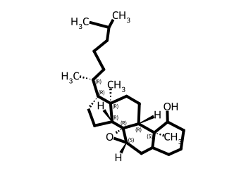 CC(C)CCC[C@@H](C)[C@H]1CC[C@@H]2[C@]1(C)CC[C@@H]1[C@@]3(C)C(O)CCCC3C[C@@H]3O[C@@]312